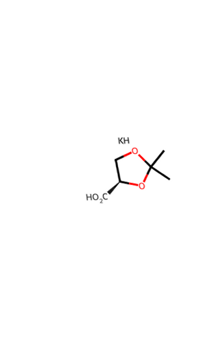 CC1(C)OC[C@H](C(=O)O)O1.[KH]